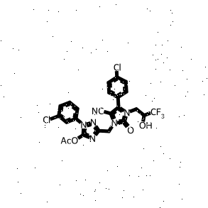 CC(=O)Oc1nc(Cn2c(C#N)c(-c3ccc(Cl)cc3)n(CC(O)C(F)(F)F)c2=O)nn1-c1cccc(Cl)c1